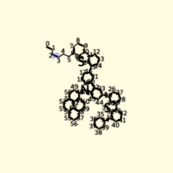 C=C/C=C\CCC1=CC=CC2c3cccc(-c4ccc5c(c4)c4cc(-c6cccc7c6sc6c(-c8ccccc8)cccc67)ccc4n5-c4ccc5ccc6cccc7ccc4c5c67)c3SC12